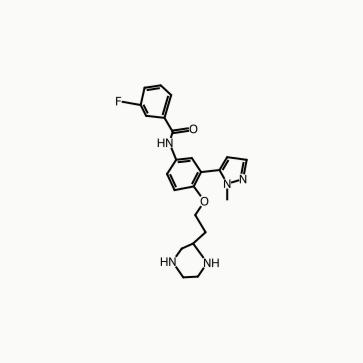 Cn1nccc1-c1cc(NC(=O)c2cccc(F)c2)ccc1OCCC1CNCCN1